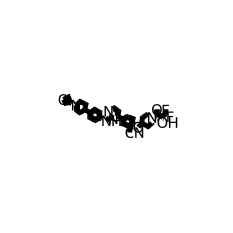 N#Cc1cc(-c2ccnc(Nc3ccc(C4CCN(C5COC5)CC4)cc3)n2)ccc1OC1CCN(C(=O)[C@@H](O)C(F)F)CC1